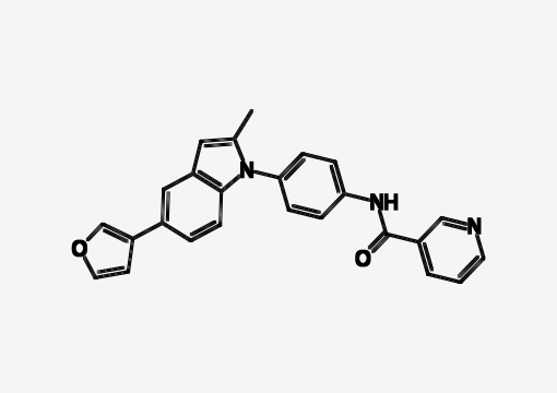 Cc1cc2cc(-c3ccoc3)ccc2n1-c1ccc(NC(=O)c2cccnc2)cc1